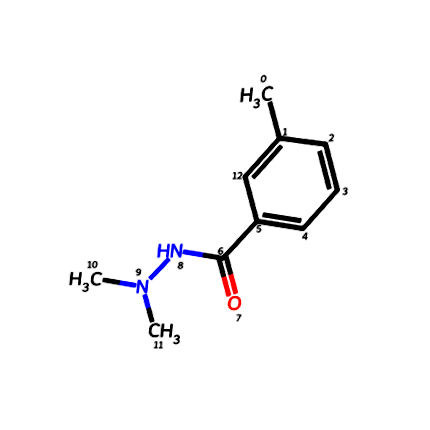 Cc1cccc(C(=O)NN(C)C)c1